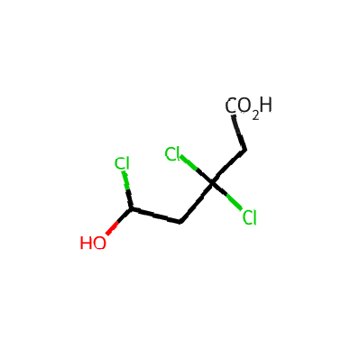 O=C(O)CC(Cl)(Cl)CC(O)Cl